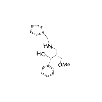 COC[C@@H](CNCc1ccccc1)C(O)c1ccccc1